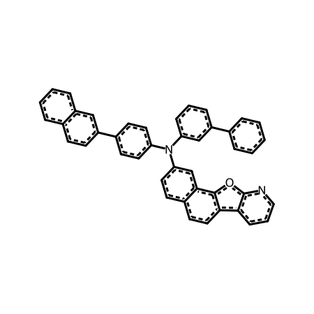 c1ccc(-c2cccc(N(c3ccc(-c4ccc5ccccc5c4)cc3)c3ccc4ccc5c6cccnc6oc5c4c3)c2)cc1